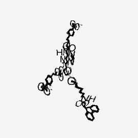 O=C(NCCCCCCOC[C@@H]1C[C@@H](OC(=O)OCCc2ccc([N+](=O)[O-])cc2)[C@H](n2cnc3c(NC(=O)OCCc4ccc([N+](=O)[O-])cc4)ncnc32)O1)OCC1c2ccccc2-c2ccccc21